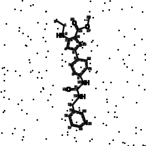 CCNc1cc(-c2ccc(NC(=O)NCc3cccnc3)cc2)sc1C(=O)OC